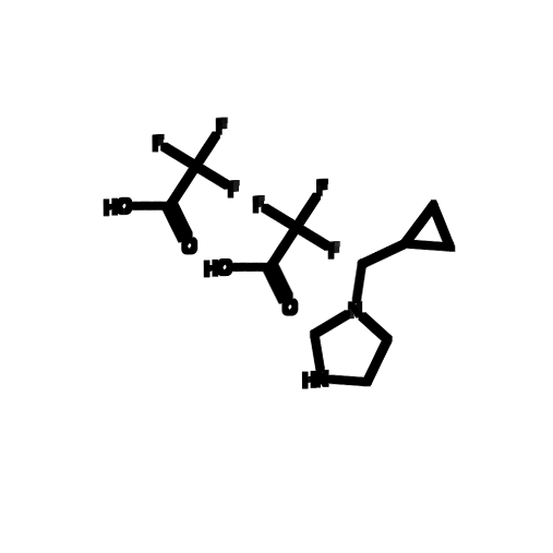 C1CN(CC2CC2)CN1.O=C(O)C(F)(F)F.O=C(O)C(F)(F)F